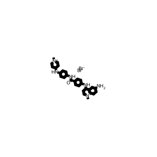 C[n+]1ccc(Nc2ccc(NC(=O)c3ccc(Nc4cc[n+](C)c5ccc(N)cc45)cc3)cc2)cc1.[Br-].[Br-]